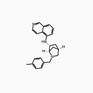 Cc1ccc(CN2C[C@H]3C[C@@H]2[C@H](Nc2cccc4cnccc24)C3)cc1